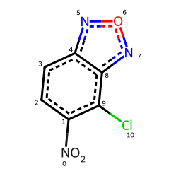 O=[N+]([O-])c1ccc2nonc2c1Cl